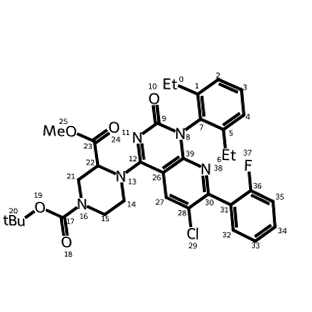 CCc1cccc(CC)c1-n1c(=O)nc(N2CCN(C(=O)OC(C)(C)C)CC2C(=O)OC)c2cc(Cl)c(-c3ccccc3F)nc21